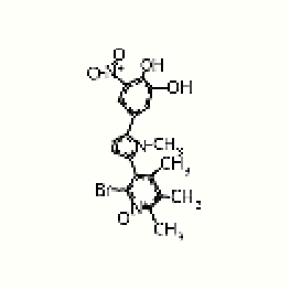 Cc1c(C)c(C)[n+]([O-])c(Br)c1-c1ccc(-c2cc(O)c(O)c([N+](=O)[O-])c2)n1C